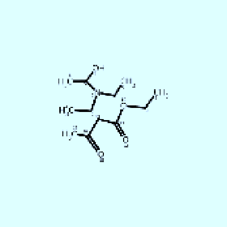 CCN(CC)C(C)O.CCOC(=O)CC(C)=O